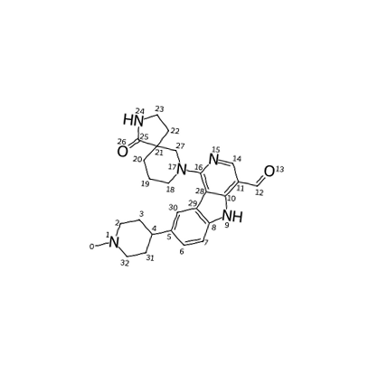 CN1CCC(c2ccc3[nH]c4c(C=O)cnc(N5CCCC6(CCNC6=O)C5)c4c3c2)CC1